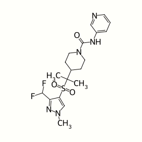 Cn1cc(S(=O)(=O)C(C)(C)C2CCN(C(=O)Nc3cccnc3)CC2)c(C(F)F)n1